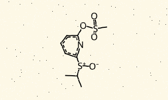 CC(C)[S+]([O-])c1cccc(OS(C)(=O)=O)n1